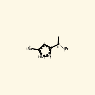 CC(C)[C@@H](C)c1cc(C(C)(C)C)[nH]n1